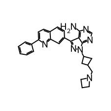 Nc1ncnc2c1c(-c1ccc3ccc(-c4ccccc4)nc3c1)nn2C1CC(CN2CCC2)C1